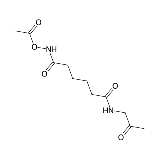 CC(=O)CNC(=O)CCCCC(=O)NOC(C)=O